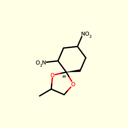 CC1CO[C@]2(CCC([N+](=O)[O-])CC2[N+](=O)[O-])O1